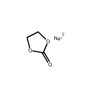 O=C1OCCO1.[I-].[Na+]